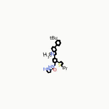 CC(C)c1ccc(-c2cc(-c3cc4cc(-c5cccc(C(C)(C)C)c5)ccc4n3C)ccc2CNC(=O)[C@H]2CCCN2)s1